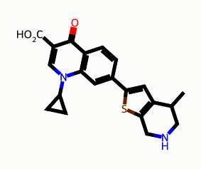 CC1CNCc2sc(-c3ccc4c(=O)c(C(=O)O)cn(C5CC5)c4c3)cc21